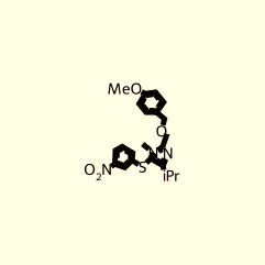 COc1ccc(COCc2nc(C(C)C)c(Sc3cccc([N+](=O)[O-])c3)n2C)cc1